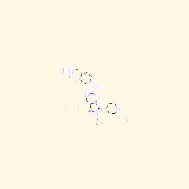 CC(C)(C)c1cc(-n2c3nc(Nc4ccc5c(c4)CCNC5(C)C)ncc3c(=O)n2C2CC2)ccn1.Cl.Cl